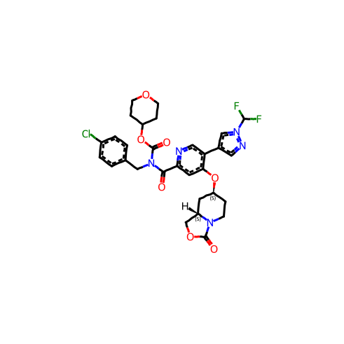 O=C(OC1CCOCC1)N(Cc1ccc(Cl)cc1)C(=O)c1cc(O[C@H]2CCN3C(=O)OC[C@@H]3C2)c(-c2cnn(C(F)F)c2)cn1